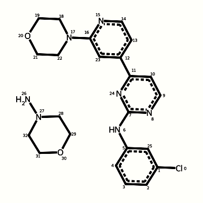 Clc1cccc(Nc2nccc(-c3ccnc(N4CCOCC4)c3)n2)c1.NN1CCOCC1